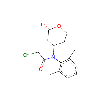 Cc1cccc(C)c1N(C(=O)CCl)C1CCOC(=O)C1